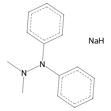 CN(C)N(c1ccccc1)c1ccccc1.[NaH]